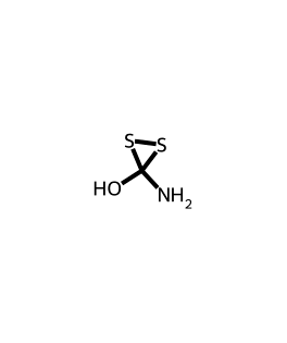 NC1(O)SS1